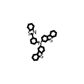 c1cc(-c2nc3ccccc3s2)cc(N(c2ccc3c(c2)sc2ccccc23)c2ccc3sc4ccccc4c3c2)c1